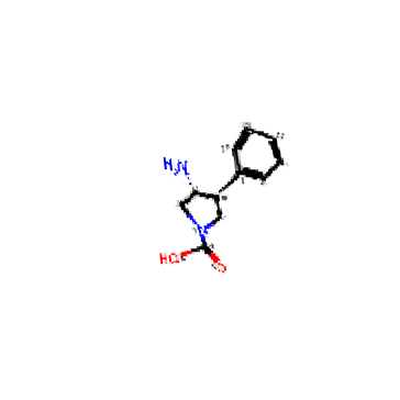 N[C@H]1CN(C(=O)O)C[C@@H]1c1ccccc1